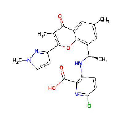 Cc1cc([C@@H](C)Nc2ccc(Cl)nc2C(=O)O)c2oc(-c3ccn(C)n3)c(C)c(=O)c2c1